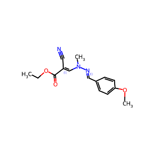 CCOC(=O)/C(C#N)=C/N(C)/N=C/c1ccc(OC)cc1